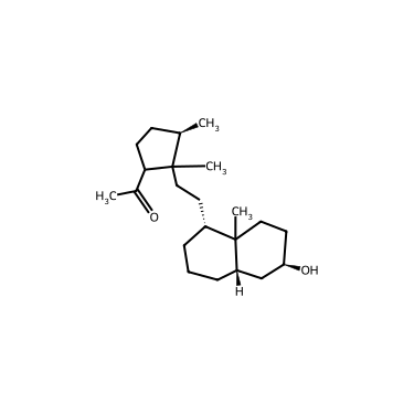 CC(=O)C1CC[C@@H](C)C1(C)CC[C@H]1CCC[C@H]2C[C@H](O)CCC12C